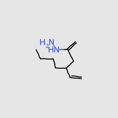 C=CC(CCCC)CC(=C)NN